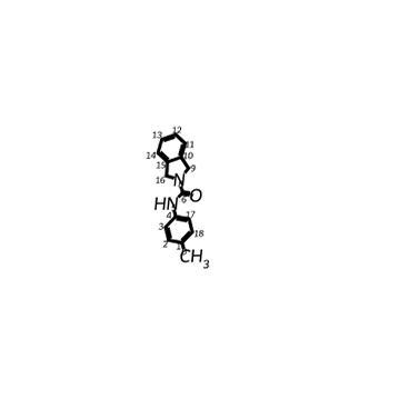 Cc1ccc(NC(=O)N2Cc3ccccc3C2)cc1